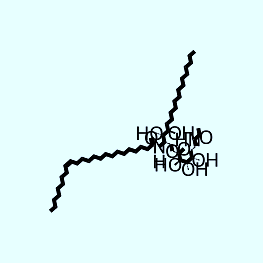 CCCCCCCC/C=C\CCCCCCCCCCCCCC(=O)N[C@@H](CO[C@@H]1O[C@H](CNC(C)=O)[C@H](O)[C@H](O)[C@H]1O)[C@H](O)[C@H](O)CCCCCCCCCCCCCC